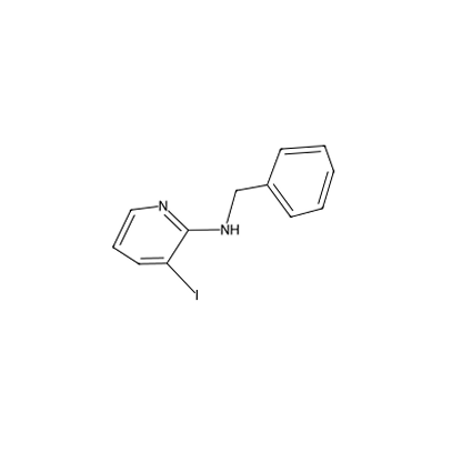 Ic1cccnc1NCc1ccccc1